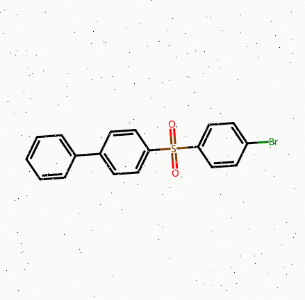 O=S(=O)(c1ccc(Br)cc1)c1ccc(-c2ccccc2)cc1